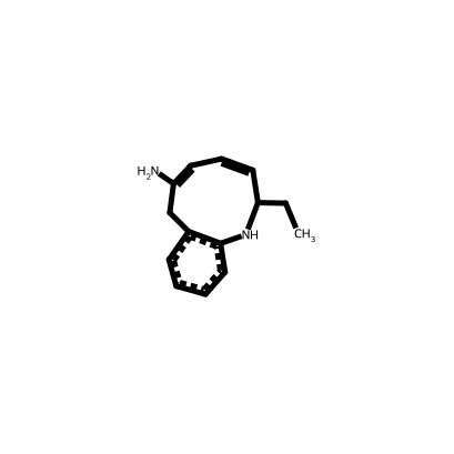 CCC1/C=C\C=C(\N)Cc2ccccc2N1